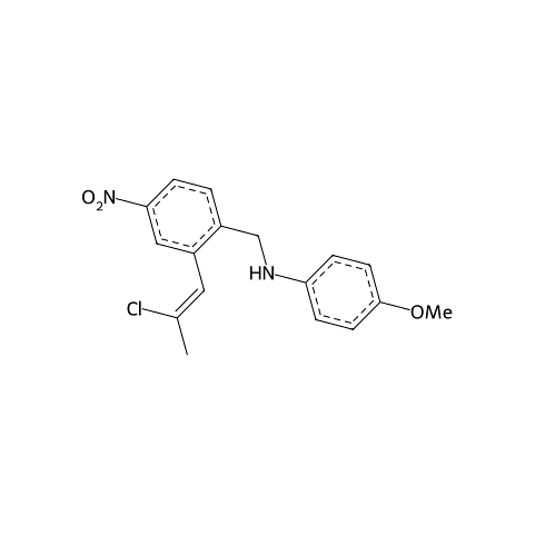 COc1ccc(NCc2ccc([N+](=O)[O-])cc2/C=C(/C)Cl)cc1